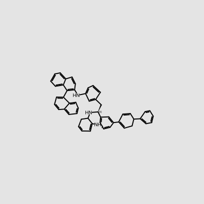 NC1=CC=CCC1N[C@@H](Cc1cccc(Nc2ccc3ccccc3c2-c2cccc3ccccc23)c1)c1cccc(C2=CCC(c3ccccc3)C=C2)c1